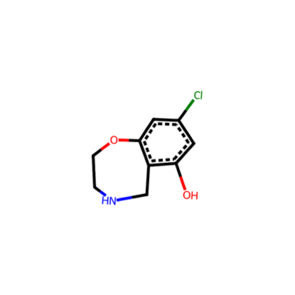 Oc1cc(Cl)cc2c1CNCCO2